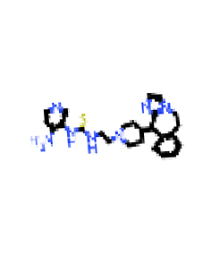 Nc1ccncc1NC(=S)NCCN1CCC(=C2c3ccccc3CCn3ccnc32)CC1